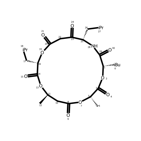 CCC(C)[C@@H]1OC(=O)[C@H](C)OC(=O)C[C@@H](C)OC(=O)[C@H](CC(C)C)OC(=O)CC(=O)[C@H](CC(C)C)NC1=O